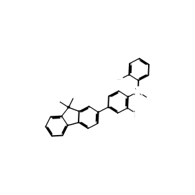 CN(c1ccccc1F)c1ccc(-c2ccc3c(c2)C(C)(C)c2ccccc2-3)cc1F